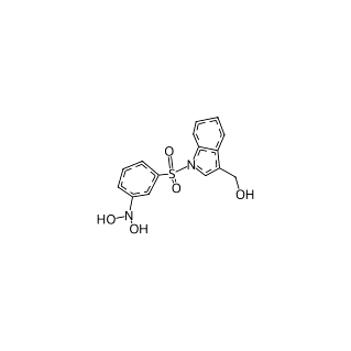 O=S(=O)(c1cccc(N(O)O)c1)n1cc(CO)c2ccccc21